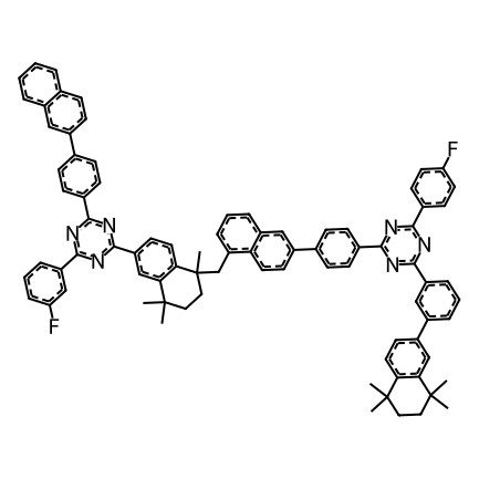 CC1(C)CCC(C)(C)c2cc(-c3cccc(-c4nc(-c5ccc(F)cc5)nc(-c5ccc(-c6ccc7c(CC8(C)CCC(C)(C)c9cc(-c%10nc(-c%11ccc(-c%12ccc%13ccccc%13c%12)cc%11)nc(-c%11cccc(F)c%11)n%10)ccc98)cccc7c6)cc5)n4)c3)ccc21